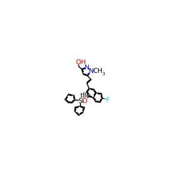 Cn1nc(CO)cc1C=Cc1cc(O[Si](c2ccccc2)(c2ccccc2)C(C)(C)C)c2ccc(F)cc2c1